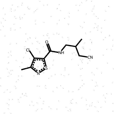 Cc1nsc(C(=O)NCC(C)CC#N)c1Cl